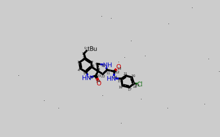 CC(C)(C)Cc1ccc2c(c1)C1(CNC(C(=O)Nc3ccc(Cl)cc3)C1)C(=O)N2